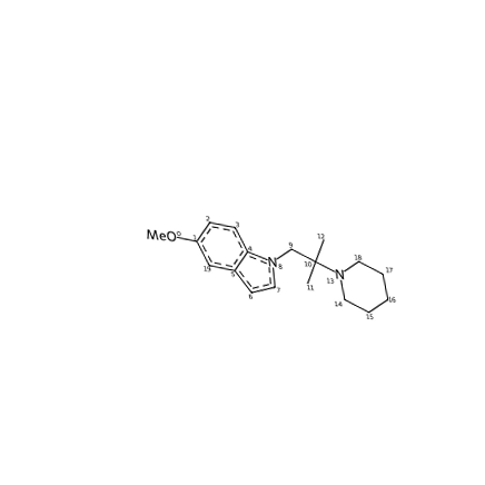 COc1ccc2c(ccn2CC(C)(C)N2CCCCC2)c1